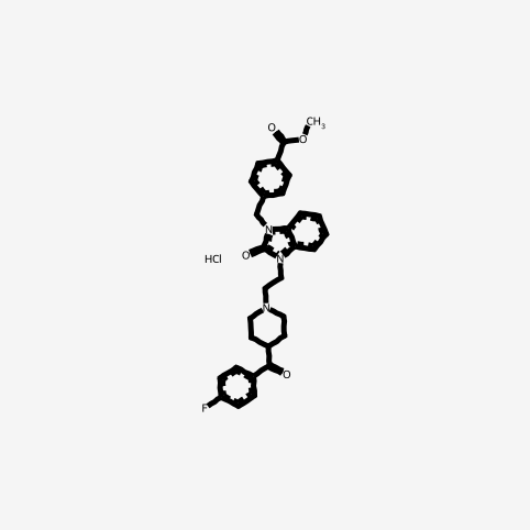 COC(=O)c1ccc(Cn2c(=O)n(CCN3CCC(C(=O)c4ccc(F)cc4)CC3)c3ccccc32)cc1.Cl